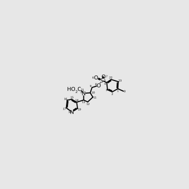 Cc1ccc(S(=O)(=O)OCC2CCC(c3cccnc3)N2C(=O)O)cc1